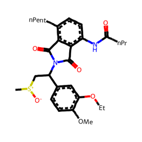 CCCCCc1ccc(NC(=O)CCC)c2c1C(=O)N(C(C[S+](C)[O-])c1ccc(OC)c(OCC)c1)C2=O